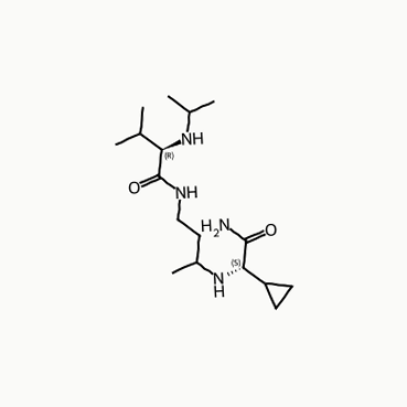 CC(C)N[C@@H](C(=O)NCCC(C)N[C@H](C(N)=O)C1CC1)C(C)C